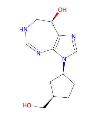 OC[C@@H]1CC[C@H](n2cnc3c2N=CNC[C@H]3O)C1